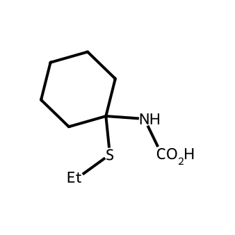 CCSC1(NC(=O)O)CCCCC1